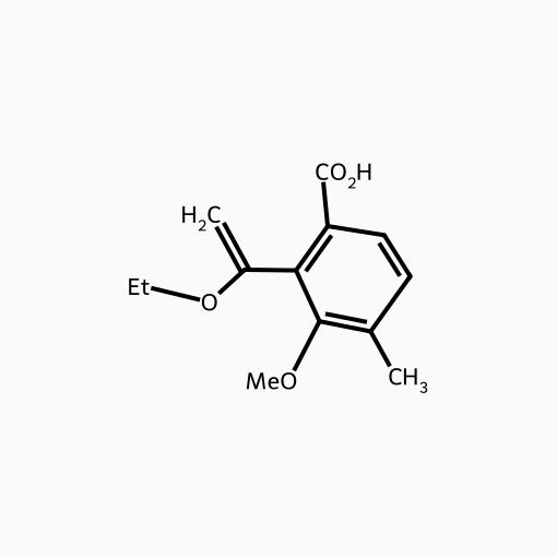 C=C(OCC)c1c(C(=O)O)ccc(C)c1OC